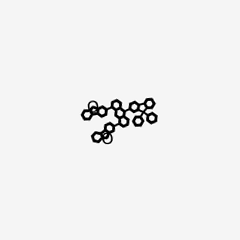 c1ccc(C2(c3ccccc3)c3ccccc3-c3ccc(-c4c5cccc(-c6ccc7c(c6)oc6ccccc67)c5cc5c(-c6ccc7c(c6)oc6ccccc67)cccc45)cc32)cc1